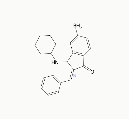 Bc1ccc2c(c1)C(NC1CCCCC1)/C(=C\c1ccccc1)C2=O